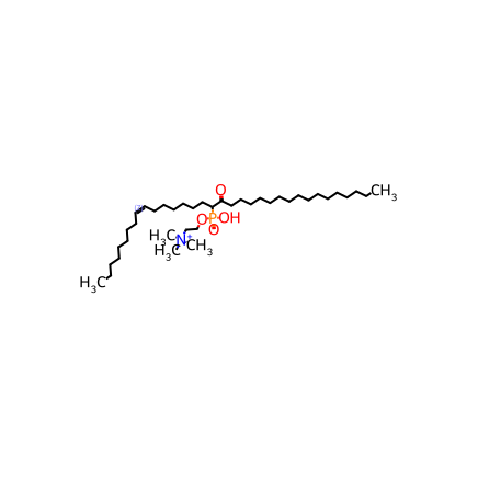 CCCCCCCC/C=C\CCCCCCC(C(=O)CCCCCCCCCCCCCCCC)P(=O)(O)OCC[N+](C)(C)C